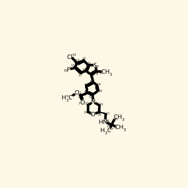 COC(=O)c1cc(-c2c(C)sc3cc(Cl)c(F)cc23)ccc1N1CCO[C@H](CNC(C)(C)C)C1